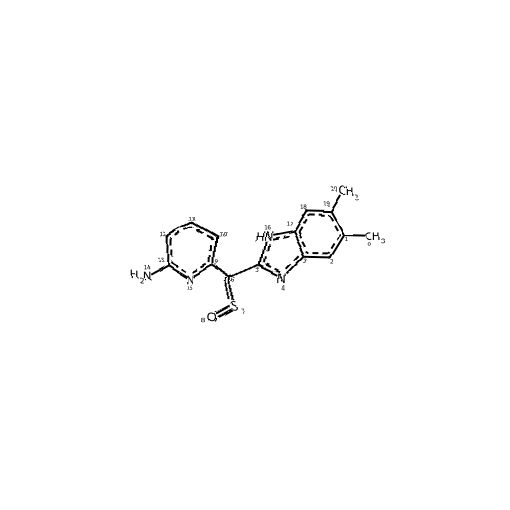 Cc1cc2nc(C(=S=O)c3cccc(N)n3)[nH]c2cc1C